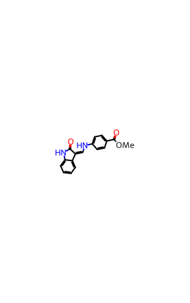 COC(=O)c1ccc(N/C=C2\C(=O)Nc3ccccc32)cc1